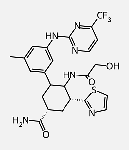 Cc1cc(Nc2nccc(C(F)(F)F)n2)cc(C2C[C@@H](C(N)=O)C[C@@H](c3nccs3)C2NC(=O)CO)c1